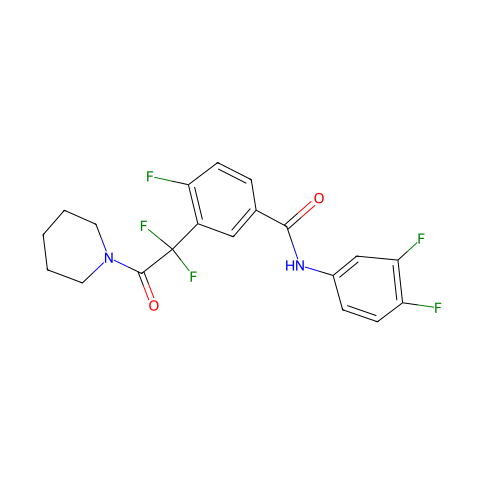 O=C(Nc1ccc(F)c(F)c1)c1ccc(F)c(C(F)(F)C(=O)N2CCCCC2)c1